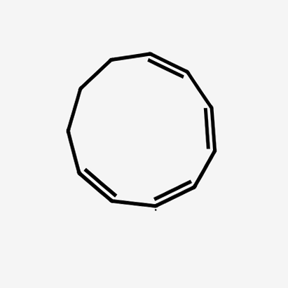 [C]1=C\C=C/C=C\CCC\C=C/1